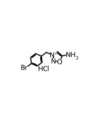 Cl.Nc1c[n+](Cc2ccc(Br)cc2)no1